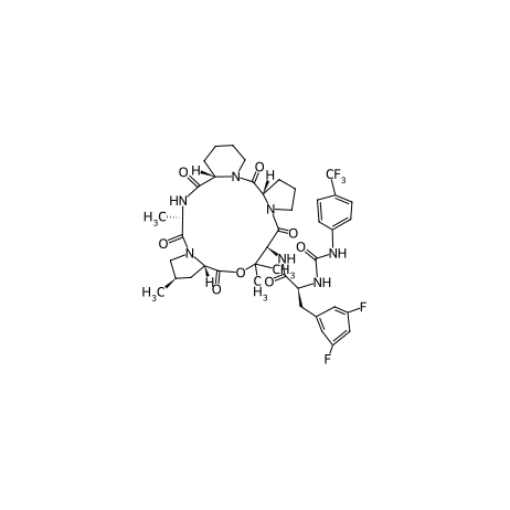 C[C@@H]1C[C@H]2C(=O)OC(C)(C)[C@H](NC(=O)[C@H](Cc3cc(F)cc(F)c3)NC(=O)Nc3ccc(C(F)(F)F)cc3)C(=O)N3CCC[C@H]3C(=O)N3CCCC[C@H]3C(=O)N[C@@H](C)C(=O)N2C1